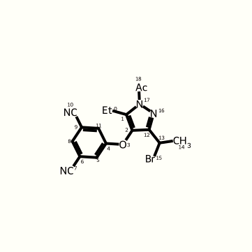 CCc1c(Oc2cc(C#N)cc(C#N)c2)c(C(C)Br)nn1C(C)=O